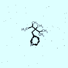 CC(C)C(C)(Cc1cccnc1)C(C)C